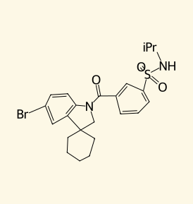 CC(C)NS(=O)(=O)c1cccc(C(=O)N2CC3(CCCCC3)c3cc(Br)ccc32)c1